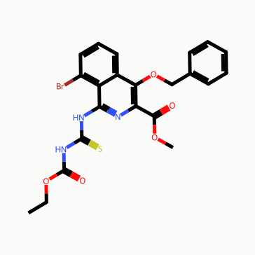 CCOC(=O)NC(=S)Nc1nc(C(=O)OC)c(OCc2ccccc2)c2cccc(Br)c12